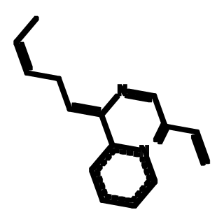 C=CC(=C)/C=N\C(=C/C/C=C\C)c1ccccn1